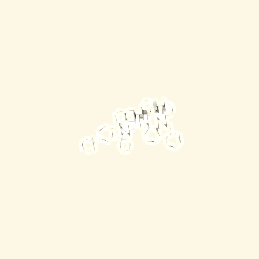 O=C1c2ccc(Cl)cc2C(=O)N1CC(=O)N1c2ccccc2N(Cc2ccccc2)C(=O)[C@H]2CCC[C@H]21